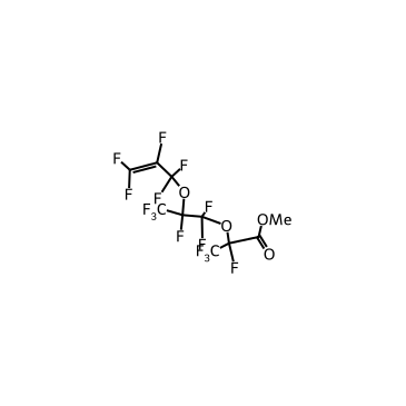 COC(=O)C(F)(OC(F)(F)C(F)(OC(F)(F)C(F)=C(F)F)C(F)(F)F)C(F)(F)F